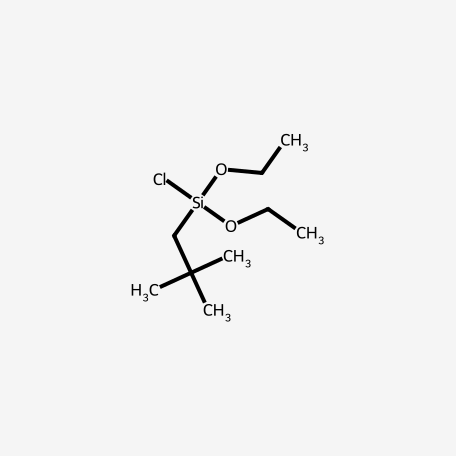 CCO[Si](Cl)(CC(C)(C)C)OCC